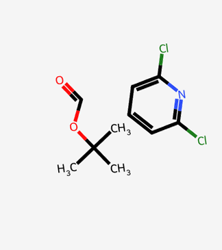 CC(C)(C)OC=O.Clc1cccc(Cl)n1